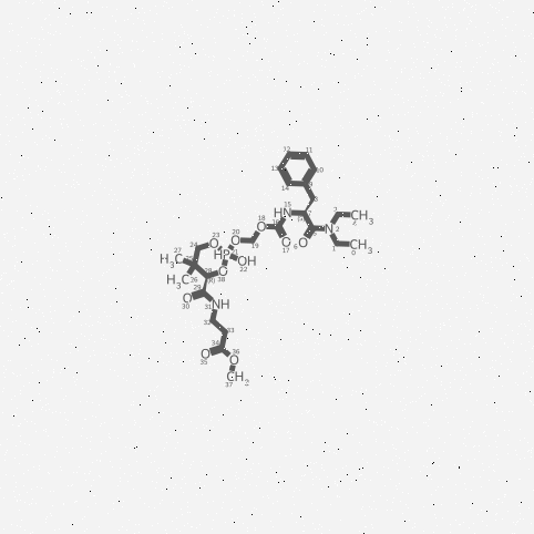 CCN(CC)C(=O)[C@H](Cc1ccccc1)NC(=O)OCO[PH]1(O)OCC(C)(C)[C@H](C(=O)NCCC(=O)OC)O1